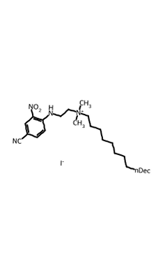 CCCCCCCCCCCCCCCCCC[N+](C)(C)CCNc1ccc(C#N)cc1[N+](=O)[O-].[I-]